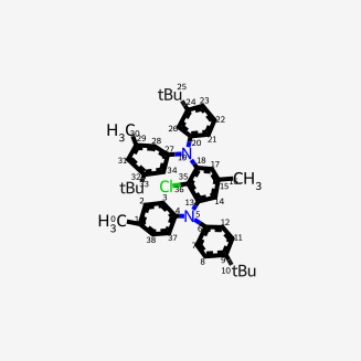 Cc1ccc(N(c2ccc(C(C)(C)C)cc2)c2cc(C)cc(N(c3cccc(C(C)(C)C)c3)c3cc(C)cc(C(C)(C)C)c3)c2Cl)cc1